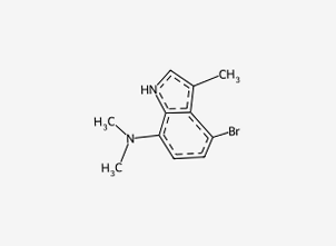 Cc1c[nH]c2c(N(C)C)ccc(Br)c12